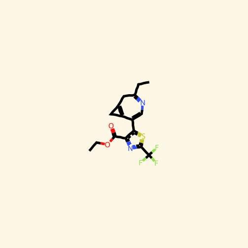 CCOC(=O)c1nc(C(F)(F)F)sc1C1=CN=C(CC)CC2=C1C2